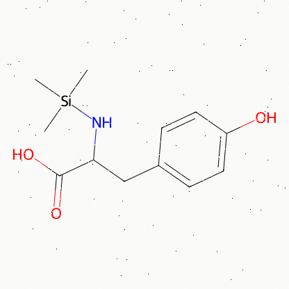 C[Si](C)(C)NC(Cc1ccc(O)cc1)C(=O)O